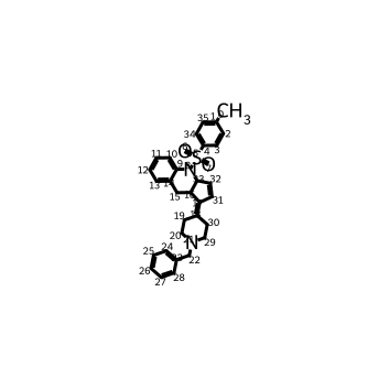 Cc1ccc(S(=O)(=O)N2c3ccccc3CC3C(=C4CCN(Cc5ccccc5)CC4)C=CC32)cc1